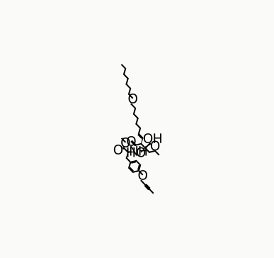 CC#CCOc1ccc(C[C@H](NC(=O)[C@@H](C=CCCCCCCOCCCCCCC)[C@@](O)(CCC)C(=O)O)C(=O)OC)cc1